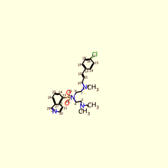 CN(C)CCN(CCN(C)CC=Cc1ccc(Cl)cc1)S(=O)(=O)c1cccc2cnccc12